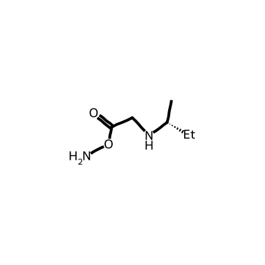 CC[C@@H](C)NCC(=O)ON